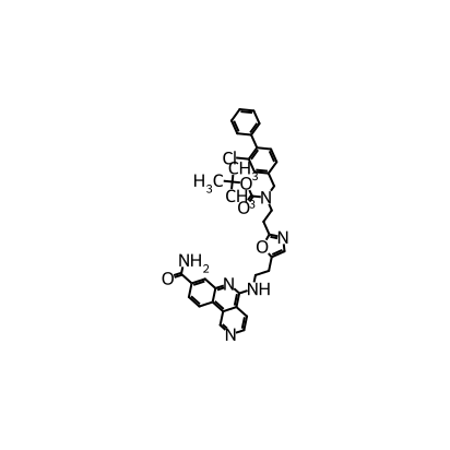 CC(C)(C)OC(=O)N(CCc1ncc(CCNc2nc3cc(C(N)=O)ccc3c3cnccc23)o1)Cc1ccc(-c2ccccc2)c(Cl)c1